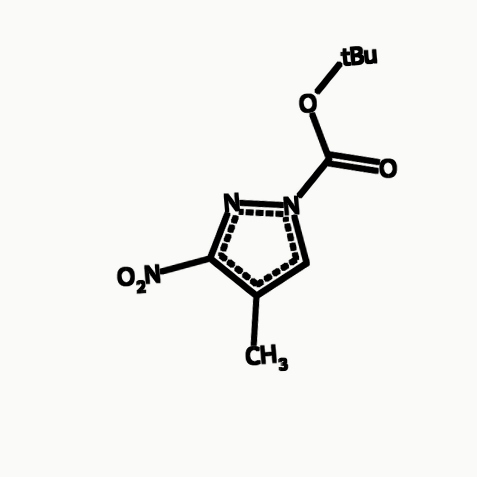 Cc1cn(C(=O)OC(C)(C)C)nc1[N+](=O)[O-]